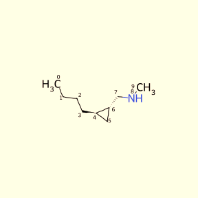 CCCC[C@@H]1C[C@H]1CNC